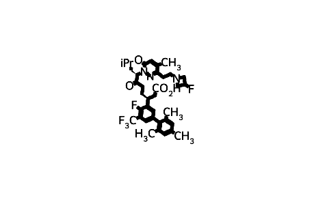 Cc1cc(C)c(-c2cc([C@@H](CCC(=O)[C@H](CC(C)C)n3nc(CCN4CC(F)C4)c(C)cc3=O)CC(=O)O)c(F)c(C(F)(F)F)c2)c(C)c1